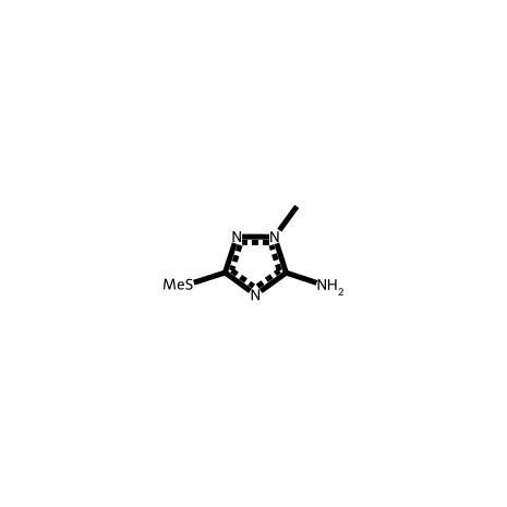 CSc1nc(N)n(C)n1